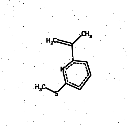 C=C(C)c1cccc(SC)n1